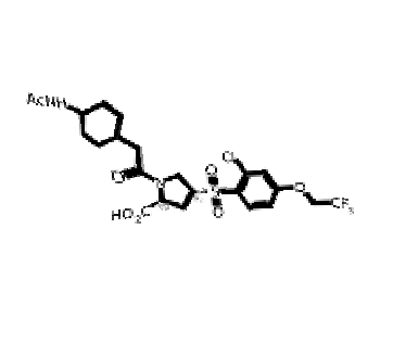 CC(=O)NC1CCC(CC(=O)N2C[C@H](S(=O)(=O)c3ccc(OCC(F)(F)F)cc3Cl)C[C@H]2C(=O)O)CC1